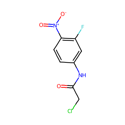 O=C(CCl)Nc1ccc([N+](=O)[O-])c(F)c1